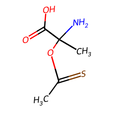 CC(=S)OC(C)(N)C(=O)O